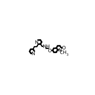 Cn1c(=O)ccc2cc(OCCNCc3cccnc3CCc3cccnc3)ccc21